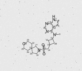 CN(c1ncnc2[nH]ccc12)C1CC(CS(=O)(=O)N2CCC3(CCOCC3)C2)C1